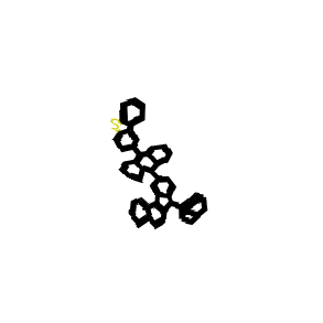 c1ccc2c3c(ccc2c1)C(C1C2CC4CC(C2)CC1C4)c1ccc(-c2c4ccccc4c(-c4ccc5sc6ccccc6c5c4)c4ccccc24)cc1-3